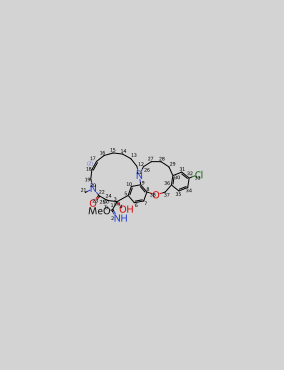 COC(=N)[C@@]1(O)c2ccc3c(c2)N(CCCCC/C=C\CN(C)C(=O)[C@H]1C)CCCCc1cc(Cl)ccc1CO3